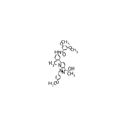 COc1ccc(Cn2nc(C(C)O)c3ccc(-c4cc(NC(=O)c5cc(OC)cc(OC)c5)ccc4C)nc32)cc1